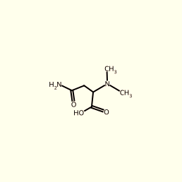 CN(C)C(CC(N)=O)C(=O)O